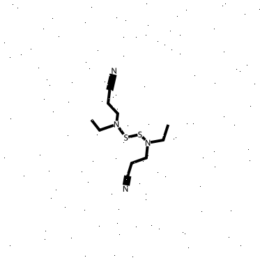 CCN(CCC#N)SSN(CC)CCC#N